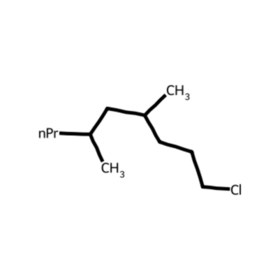 CCCC(C)CC(C)CCCCl